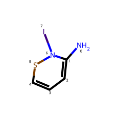 NC1=CC=CSN1I